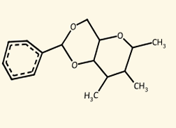 CC1OC2COC(c3ccccc3)OC2C(C)C1C